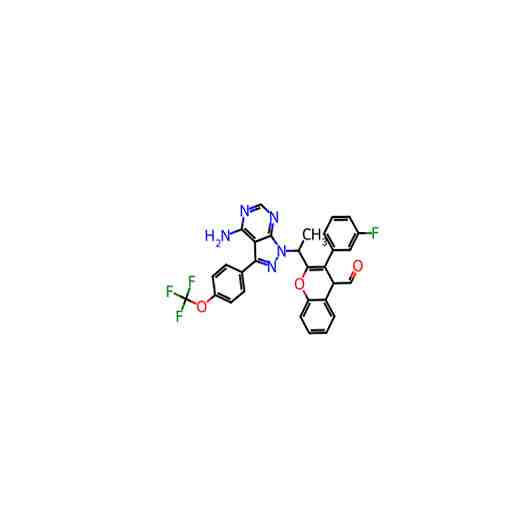 CC(C1=C(c2cccc(F)c2)C(C=O)c2ccccc2O1)n1nc(-c2ccc(OC(F)(F)F)cc2)c2c(N)ncnc21